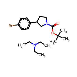 CC(C)(C)OC(=O)N1CCC(c2ccc(Br)cc2)C1.CCN(CC)CC